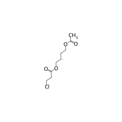 CC(=O)OCC[CH]COC(=O)CCCl